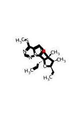 C=CC[C@@]1(c2ccc3c(SC)ncnn23)O[C@H](CC)[C@@H](C)[C@@]1(C)C#N